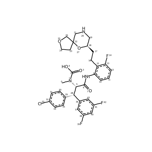 CN(C(=O)O)[C@H](C(=O)Nc1cccc(F)c1CC[C@@H]1CNCC2(CCOC2)O1)[C@@H](c1ccc(Cl)cc1)c1cc(F)cc(F)c1